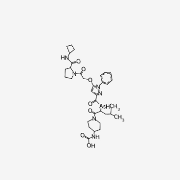 CC(C)CC([AsH]C(=O)c1cc(OCC(=O)N2CCCC2C(=O)NC2CCC2)n(-c2ccccc2)n1)C(=O)N1CCC(NC(=O)O)CC1